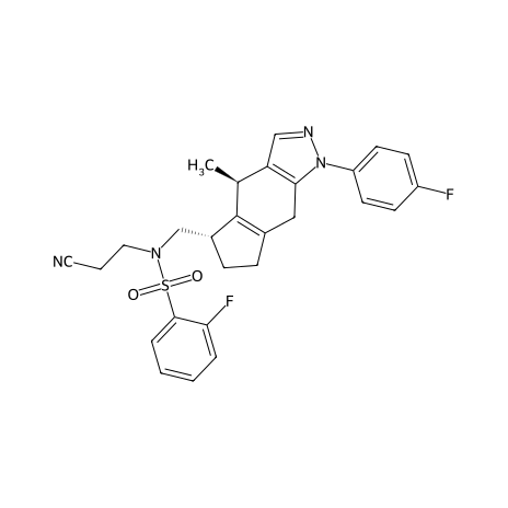 C[C@@H]1C2=C(CC[C@@H]2CN(CCC#N)S(=O)(=O)c2ccccc2F)Cc2c1cnn2-c1ccc(F)cc1